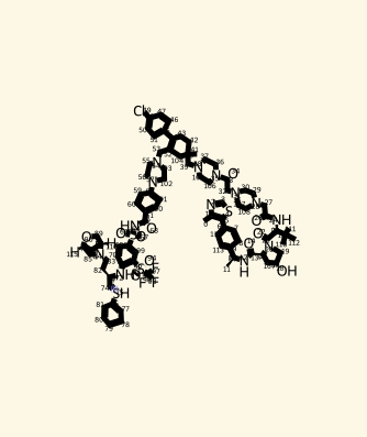 Cc1ncsc1-c1ccc([C@H](C)NC(=O)[C@@H]2C[C@@H](O)CN2C(=O)[C@@H](NC(=O)CN2CCN(CC(=O)N3CCN(CC4(C)CCC(c5ccc(Cl)cc5)=C(CN5CCN(c6ccc(C(=O)NS(=O)(=O)c7ccc(N[C@@H](/C=[SH]/c8ccccc8)CCN8C[C@H]9C[C@@H]8CO9)c(S(=O)(=O)C(F)(F)F)c7)cc6)CC5)C4)CC3)CC2)C(C)(C)C)cc1